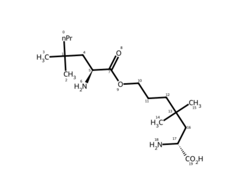 CCCC(C)(C)C[C@H](N)C(=O)OCCCC(C)(C)C[C@@H](N)C(=O)O